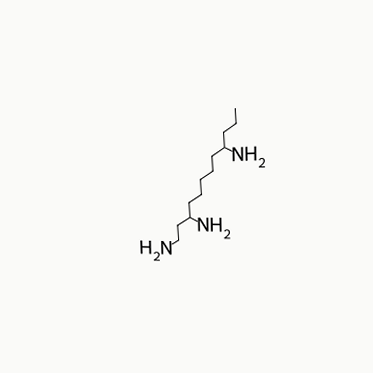 CCCC(N)CCCCCC(N)CCN